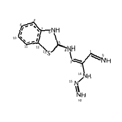 N=C/C(=C\NC1Nc2ccccc2S1)NN=N